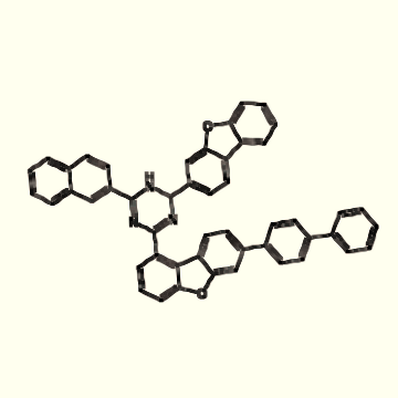 c1ccc(-c2ccc(-c3ccc4c(c3)oc3cccc(C5=NC(c6ccc7c(c6)oc6ccccc67)NC(c6ccc7ccccc7c6)=N5)c34)cc2)cc1